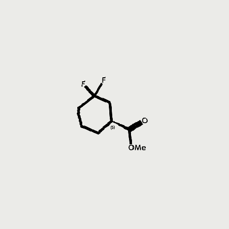 COC(=O)[C@H]1CCCC(F)(F)C1